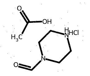 CC(=O)O.Cl.O=CN1CCNCC1